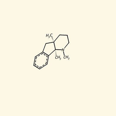 CN1CCC[C@]2(C)Cc3ccccc3[C@]12C